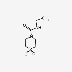 CCNC(=O)N1CCS(=O)(=O)CC1